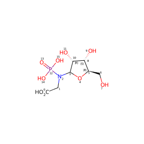 O=C(O)CN(C1O[C@H](CO)[C@@H](O)[C@H]1O)P(=O)(O)O